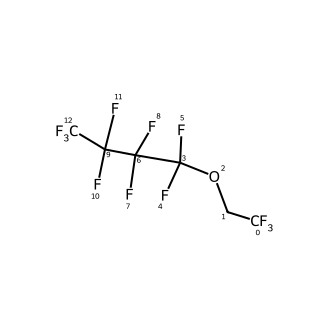 FC(F)(F)COC(F)(F)C(F)(F)C(F)(F)C(F)(F)F